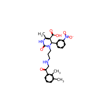 CC1=C(C(=O)O)C(c2cccc([N+](=O)[O-])c2)N(CCCNCC(=O)c2cccc(C)c2C)C(=O)N1